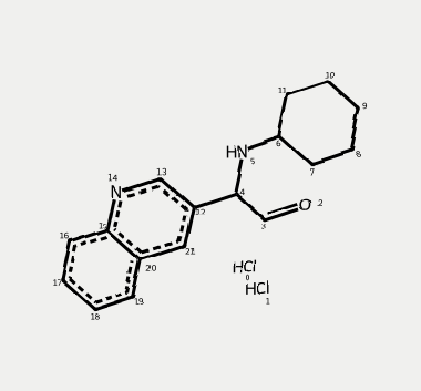 Cl.Cl.O=CC(NC1CCCCC1)c1cnc2ccccc2c1